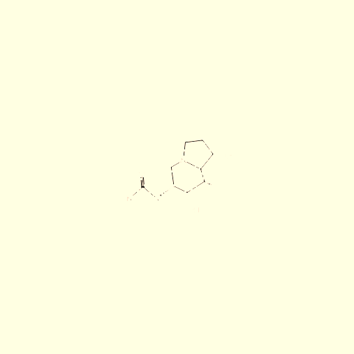 NC(=O)N[C@H]1CN2CC[C@H](O)C2[C@@H](O)[C@@H]1O